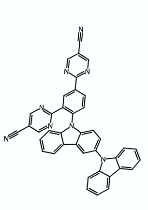 N#Cc1cnc(-c2ccc(-n3c4ccccc4c4cc(-n5c6ccccc6c6ccccc65)ccc43)c(-c3ncc(C#N)cn3)c2)nc1